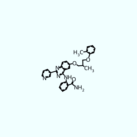 Cc1ccccc1OCC(C)COc1ccc2nc(-c3cccnc3)nc(Nc3ccccc3C(N)=O)c2c1